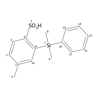 Cc1ccc(S(=O)(=O)O)c([Si](C)(C)c2ccccc2)c1